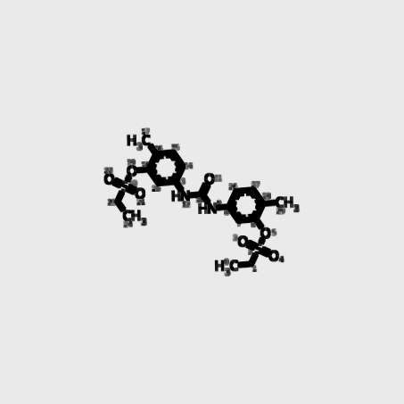 CCS(=O)(=O)Oc1cc(NC(=O)Nc2ccc(C)c(OS(=O)(=O)CC)c2)ccc1C